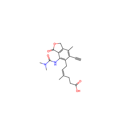 C#Cc1c(C)c2c(c(NC(=O)N(C)C)c1CC=C(C)CCC(=O)O)C(=O)OC2